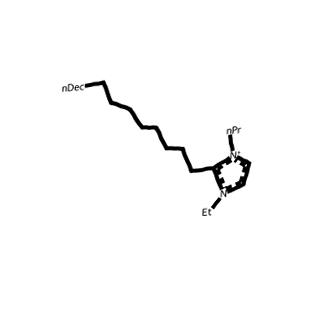 CCCCCCCCCCCCCCCCCCc1n(CC)cc[n+]1CCC